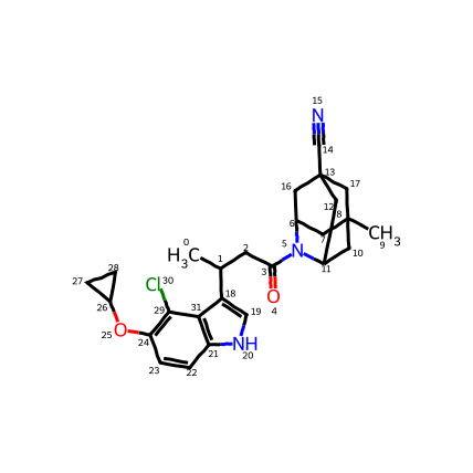 CC(CC(=O)N1C2CC3(C)CC1CC(C#N)(C2)C3)c1c[nH]c2ccc(OC3CC3)c(Cl)c12